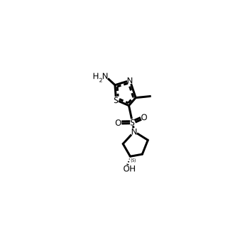 Cc1nc(N)sc1S(=O)(=O)N1CC[C@H](O)C1